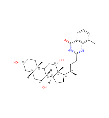 Cc1cccc2c(=O)[nH]c(CC[C@@H](C)[C@H]3CC[C@H]4[C@H]5C(C[C@H](O)[C@]34C)[C@@]3(C)CC[C@@H](O)C[C@H]3C[C@H]5O)nc12